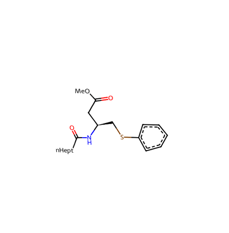 CCCCCCCC(=O)N[C@H](CSc1ccccc1)CC(=O)OC